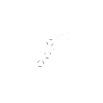 CCN(CC)CCOc1cc(Nc2ncc(-c3ccc(OC)cc3)cn2)ccc1OC